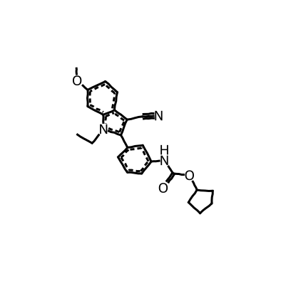 CCn1c(-c2cccc(NC(=O)OC3CCCC3)c2)c(C#N)c2ccc(OC)cc21